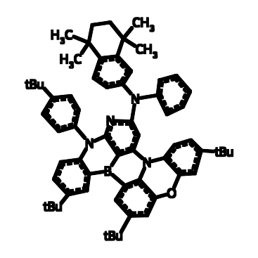 CC(C)(C)c1ccc(N2c3ccc(C(C)(C)C)cc3B3c4cc(C(C)(C)C)cc5c4N(c4ccc(C(C)(C)C)cc4O5)c4cc(N(c5ccccc5)c5ccc6c(c5)C(C)(C)CCC6(C)C)nc2c43)cc1